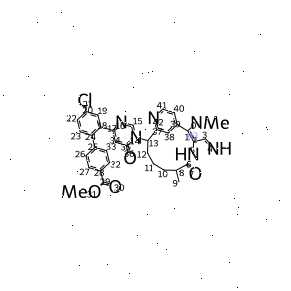 CN/C1=C(\C=N)NC(=O)C(C)CCCC(n2cnc(-c3cc(Cl)ccc3-c3ccc(C(=O)OC)cc3)cc2=O)c2cc1ccn2